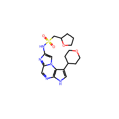 O=S(=O)(CC1CCCO1)Nc1cn2c(cnc3[nH]cc(C4CCOCC4)c32)n1